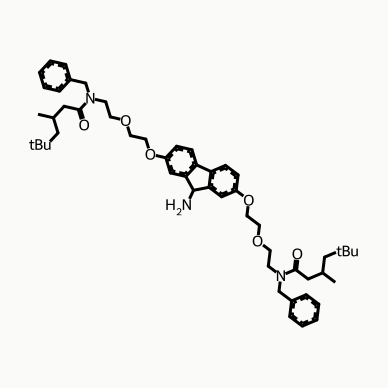 CC(CC(=O)N(CCOCCOc1ccc2c(c1)C(N)c1cc(OCCOCCN(Cc3ccccc3)C(=O)CC(C)CC(C)(C)C)ccc1-2)Cc1ccccc1)CC(C)(C)C